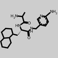 CC(N)C(=O)N[C@@H](CC1CCCC2CCCCC21)C(=O)NCc1ccc(N)nc1